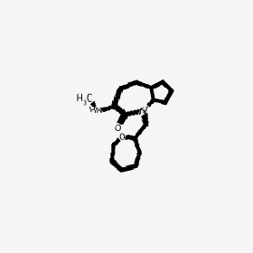 CNC1CCC2CCCC2N(CC2CCCCCO2)C1=O